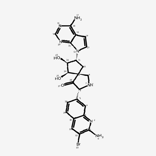 Nc1nc2cc([C@H]3NC[C@@]4(C[C@@H](n5ccc6c(N)ncnc65)[C@H](O)[C@@H]4O)C3=O)ccc2cc1Br